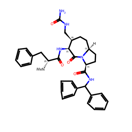 CN[C@H](Cc1ccccc1)C(=O)N[C@@H]1C(=O)N2[C@@H](CC[C@@H]1CNC(N)=O)CC[C@H]2C(=O)NC(c1ccccc1)c1ccccc1